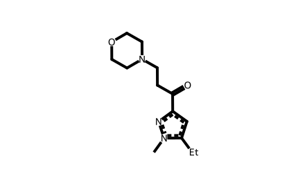 CCc1cc(C(=O)CCN2CCOCC2)nn1C